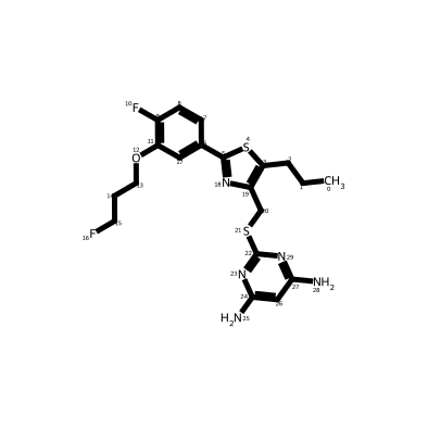 CCCc1sc(-c2ccc(F)c(OCCCF)c2)nc1CSc1nc(N)cc(N)n1